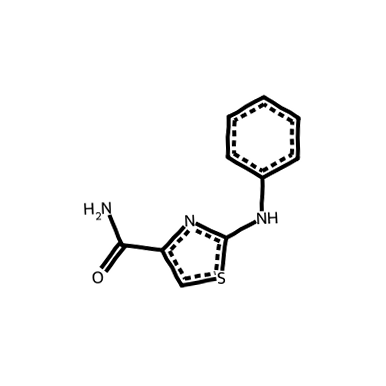 NC(=O)c1csc(Nc2ccccc2)n1